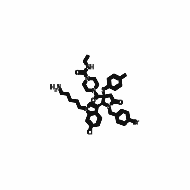 CCNC(=O)N1CCN(C(=O)[C@]2(Sc3ccc(C)cc3)CC(=O)N(Cc3ccc(Br)cc3)[C@H]2c2cn(CCCCCN)c3cc(Cl)ccc23)CC1